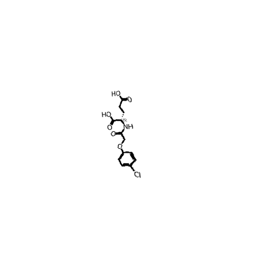 O=C(O)CC[C@H](NC(=O)COc1ccc(Cl)cc1)C(=O)O